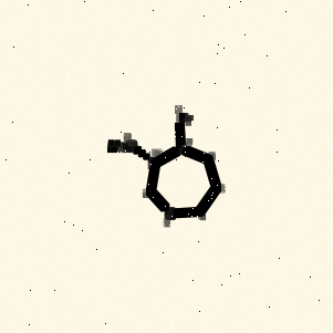 CO[C@H]1COCCCN1C(C)C